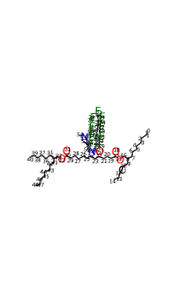 CCCCCCCCC(CCCCCC)COC(=O)CCCCCC(CCCCCC(=O)OCC(CCCCCC)CCCCCCCC)N(CCCN(C)C)C(=O)C(F)(F)C(F)(F)C(F)(F)C(F)(F)C(F)(F)C(F)(F)C(F)(F)F